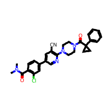 CN(C)C(=O)c1ccc(-c2cnc(N3CCN(C(=O)C4(c5ccccc5)CC4)CC3)c(C#N)c2)cc1Cl